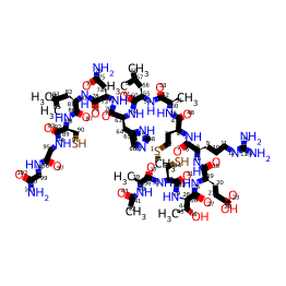 CSCC[C@H](NC(=O)[C@H](CCCN=C(N)N)NC(=O)[C@H](CCC(=O)O)NC(=O)[C@@H](NC(=O)[C@H](CS)NC(=O)[C@H](C)NC(C)=O)[C@@H](C)O)C(=O)N[C@@H](C)C(=O)N[C@@H](CC(C)C)C(=O)N[C@@H](Cc1cnc[nH]1)C(=O)N[C@@H](CC(N)=O)C(=O)N[C@@H](CC(C)C)C(=O)N[C@@H](CS)C(=O)NCC(=O)NCC(N)=O